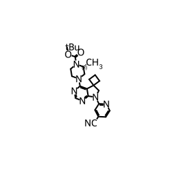 C[C@@H]1CN(c2ncnc3c2C2(CCC2)CN3c2cc(C#N)ccn2)CCN1C(=O)OC(C)(C)C